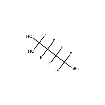 CCCCC(F)(F)C(F)(F)C(F)(F)C(O)(O)F